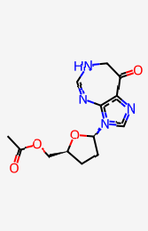 CC(=O)OC[C@@H]1CC[C@H](n2cnc3c2N=CNCC3=O)O1